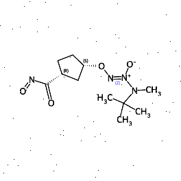 CN(/[N+]([O-])=N/O[C@H]1CC[C@@H](C(=O)N=O)C1)C(C)(C)C